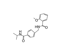 COc1ccccc1C(=O)NCc1ccc(C(=O)NC(C)C)cc1